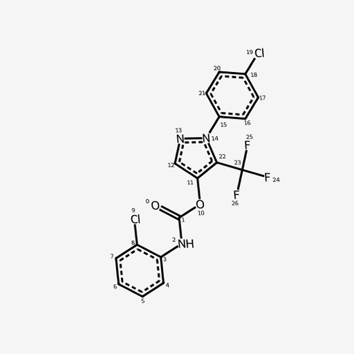 O=C(Nc1ccccc1Cl)Oc1cnn(-c2ccc(Cl)cc2)c1C(F)(F)F